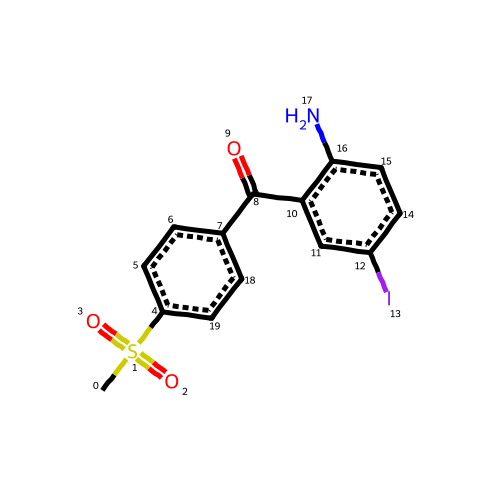 CS(=O)(=O)c1ccc(C(=O)c2cc(I)ccc2N)cc1